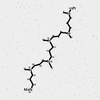 CCCN(C)CCCN(C)CCCN(C)CCCN(C)CCCN(C)CCCNC